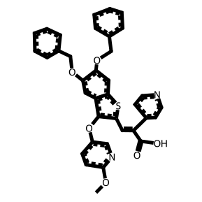 COc1ccc(Oc2c(/C=C(/C(=O)O)c3ccncc3)sc3cc(OCc4ccccc4)c(OCc4ccccc4)cc23)cn1